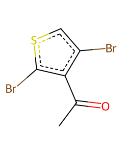 CC(=O)c1c(Br)csc1Br